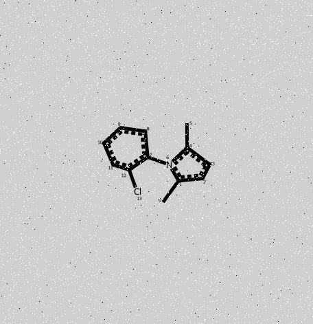 Cc1ccc(C)n1-c1ccccc1Cl